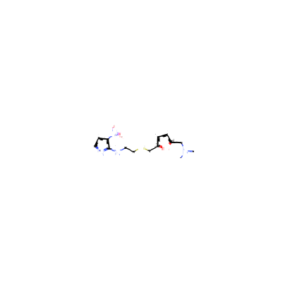 CN(C)Cc1ccc(CSCCNc2[nH]ccc2[N+](=O)[O-])o1